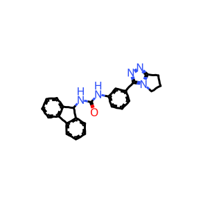 O=C(Nc1cccc(-c2nnc3n2CCC3)c1)NC1c2ccccc2-c2ccccc21